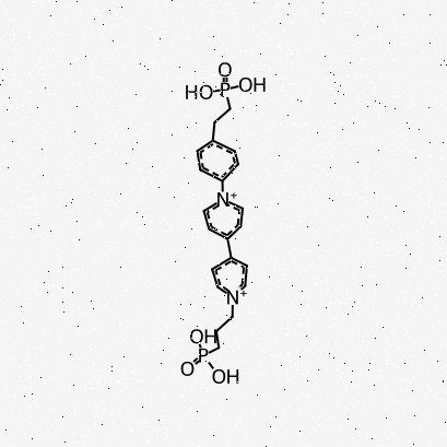 O=P(O)(O)CCC[n+]1ccc(-c2cc[n+](-c3ccc(CCP(=O)(O)O)cc3)cc2)cc1